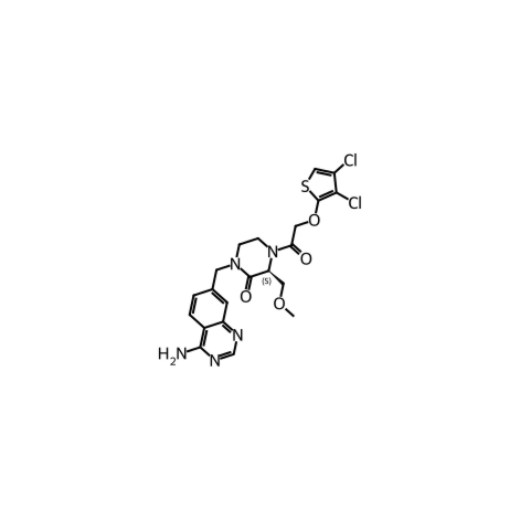 COC[C@H]1C(=O)N(Cc2ccc3c(N)ncnc3c2)CCN1C(=O)COc1scc(Cl)c1Cl